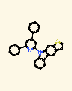 c1ccc(-c2cc(-c3ccccc3)nc(-n3c4ccccc4c4cc5ccsc5cc43)c2)cc1